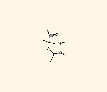 C=C(C)C(C)(C)OC(C)N.Cl